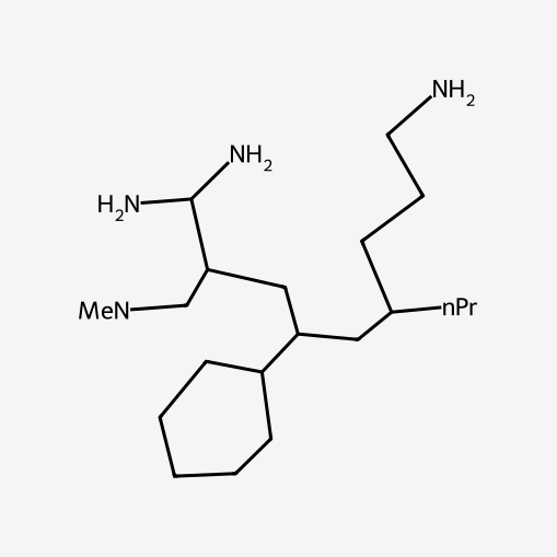 CCCC(CCCN)CC(CC(CNC)C(N)N)C1CCCCC1